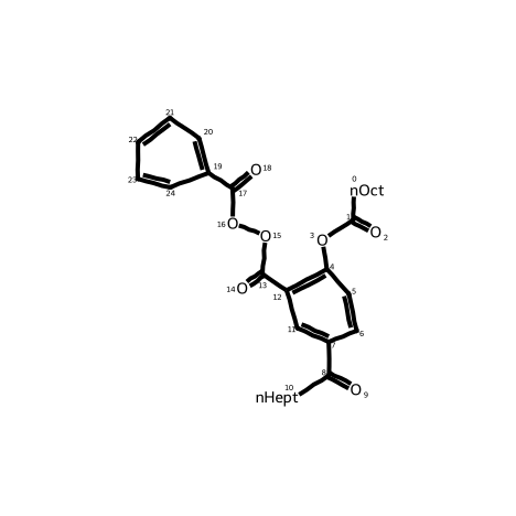 CCCCCCCCC(=O)Oc1ccc(C(=O)CCCCCCC)cc1C(=O)OOC(=O)c1ccccc1